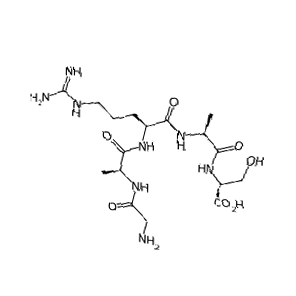 C[C@H](NC(=O)CN)C(=O)N[C@@H](CCCNC(=N)N)C(=O)N[C@@H](C)C(=O)N[C@@H](CO)C(=O)O